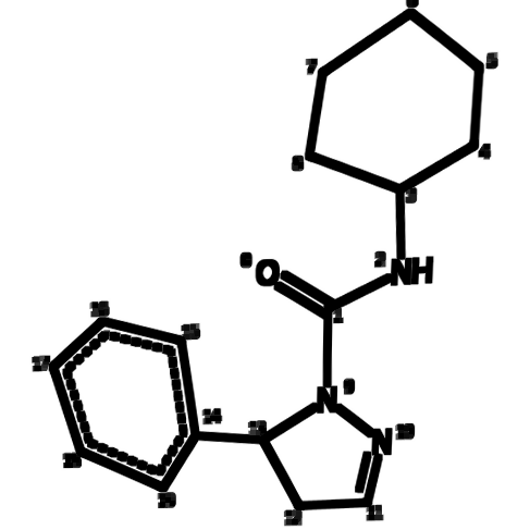 O=C(NC1CCCCC1)N1N=CCC1c1ccccc1